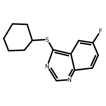 Fc1ccc2ncnc(SC3CCCCC3)c2c1